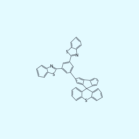 c1ccc2c(c1)Sc1ccccc1C21c2ccccc2-c2cc(-c3cc(-c4nc5ccccc5s4)cc(-c4nc5ccccc5s4)c3)ccc21